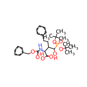 CC(C)(C)OP(=O)(OC(C)(C)C)C(O)C(CCc1ccccc1)C(NC(=O)OCc1ccccc1)C(=O)O